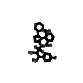 COc1cccc(OC)c1-n1c(NS(=O)(=O)C(C)C(C)c2ncc(F)cn2)nnc1[C@H]1COCCO1